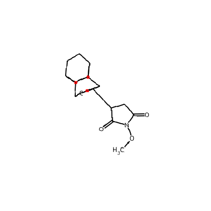 CON1C(=O)CC(C2CC3CCC2C2C4CCC(CC4)C32)C1=O